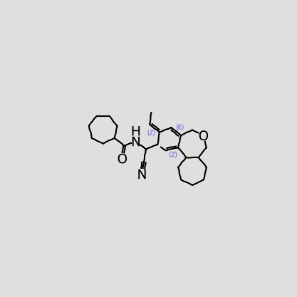 C\C=C(/C=C1/COCC2CCCCCC2/C1=C/C)CC(C#N)NC(=O)C1CCCCCC1